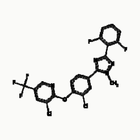 Cn1nc(-c2c(F)cccc2F)nc1-c1ccc(Oc2ncc(C(F)(F)F)cc2Cl)c(Cl)c1